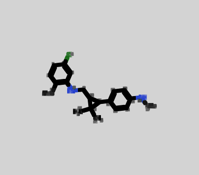 COc1ccc(Cl)cc1NCC1C(c2ccc(NSC)cc2)C1(C)C